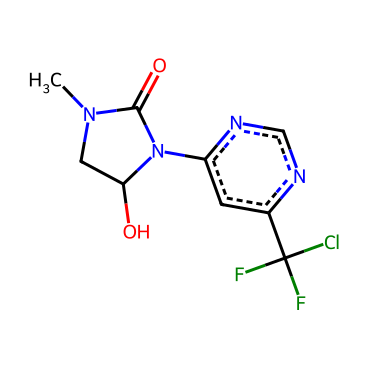 CN1CC(O)N(c2cc(C(F)(F)Cl)ncn2)C1=O